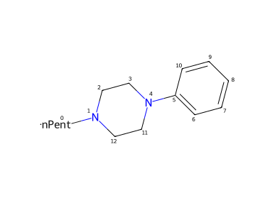 CCCC[CH]N1CCN(c2ccccc2)CC1